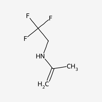 C=C(C)NCC(F)(F)F